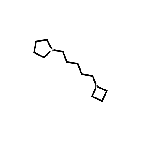 [CH](CCCN1CCC1)CN1CCCC1